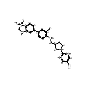 O=S1(=O)COc2cc(-c3ccc(OCC4CCN(c5ncc(Cl)cn5)C4)c(F)c3)ccc21